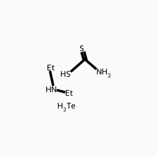 CCNCC.NC(=S)S.[TeH2]